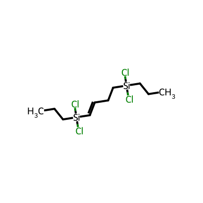 CCC[Si](Cl)(Cl)C=CCC[Si](Cl)(Cl)CCC